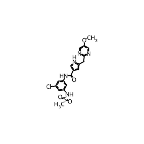 COc1cnc(Cc2cc(C(=O)Nc3cc(Cl)cc(NS(C)(=O)=O)c3)c[nH]2)nc1